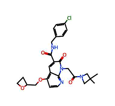 CC1(C)CN(C(=O)Cn2c(=O)c(C(=O)NCc3ccc(Cl)cc3)cc3c(OCC4CCO4)ccnc32)C1